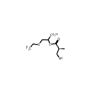 C[C@@H](CS)C(=O)OC(CSCC(F)(F)F)C(=O)O